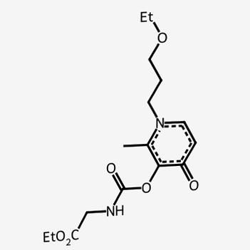 CCOCCCn1ccc(=O)c(OC(=O)NCC(=O)OCC)c1C